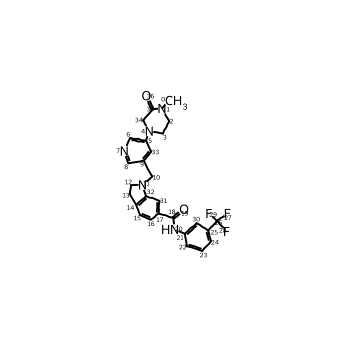 CN1CCN(c2cncc(CN3CCc4ccc(C(=O)Nc5cccc(C(F)(F)F)c5)cc43)c2)CC1=O